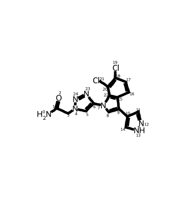 NC(=O)Cn1cc(-n2cc(-c3cn[nH]c3)c3ccc(Cl)c(Cl)c32)nn1